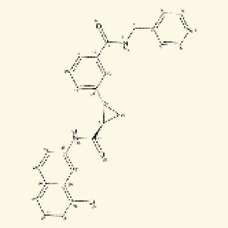 O=C(NCc1ccncc1)c1cccc([C@@H]2C[C@H]2C(=O)Nc2ccc3cccc(Cl)c3c2)c1